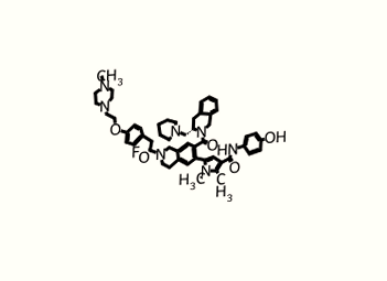 Cc1c(C(=O)Nc2ccc(O)cc2)cc(-c2cc3c(cc2C(=O)N2Cc4ccccc4C[C@H]2CN2CCCCC2)CN(C(=O)Cc2ccc(OCCN4CCN(C)CC4)cc2F)CC3)n1C